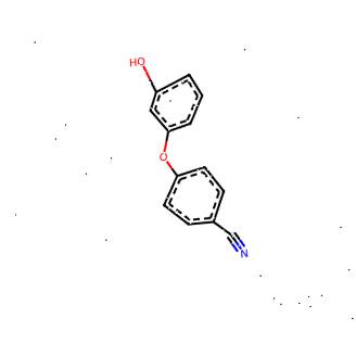 N#Cc1ccc(Oc2cccc(O)c2)cc1